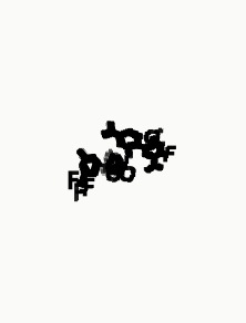 C=C(C)c1ccc(-c2cc(C(C)C)c(F)cc2OC)c(CN2C(=O)O[C@H](c3cc(C)cc(C(F)(F)F)c3)[C@@H]2C)c1